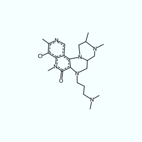 Cc1ncc2c3c(c(=O)n(C)c2c1Cl)N(CCCN(C)C)CC1CN(C)C(C)CN31